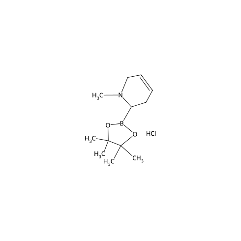 CN1CC=CCC1B1OC(C)(C)C(C)(C)O1.Cl